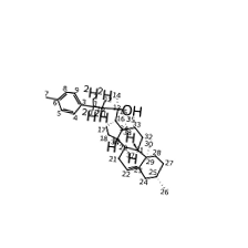 [2H]C([2H])(c1ccc(C)cc1)C([2H])([2H])[C@@](C)(O)[C@H]1CC[C@H]2[C@@H]3CC=C4C[C@@H](C)CC[C@]4(C)[C@H]3CC[C@@]21C